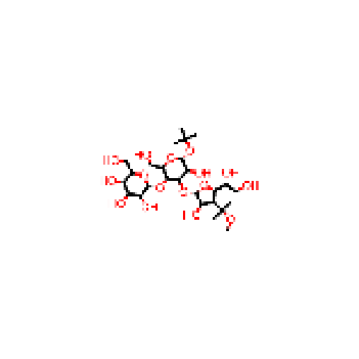 COC(C)(C)C1C(O)[C@H](OC2C(O)[C@@H](OC(C)(C)C)OC(CO)[C@@H]2O[C@H]2OC(CO)[C@H](O)C(O)C2O)O[C@H]1[C@H](O)CO